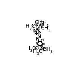 COc1cc(/N=N/c2nnc(N(C(C)C)C(C)C)s2)ccc1N(C)C